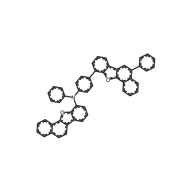 c1ccc(-c2cc3c4cccc(-c5ccc(N(c6ccccc6)c6cccc7c6oc6c8ccccc8ccc76)cc5)c4oc3c3ccccc23)cc1